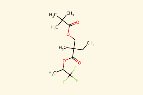 CCC(C)(COC(=O)C(C)(C)C)C(=O)OC(C)C(F)(F)F